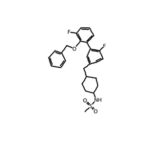 CS(=O)(=O)NC1CCC(Cc2ccc(F)c(-c3cccc(F)c3OCc3ccccc3)c2)CC1